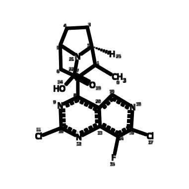 CC1[C@@H]2CCC(CN1c1nc(Cl)nc3c(F)c(Cl)ncc13)N2C(=O)O